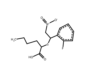 CCCCC(SC(C[N+](=O)[O-])c1ccccc1F)C(=O)O